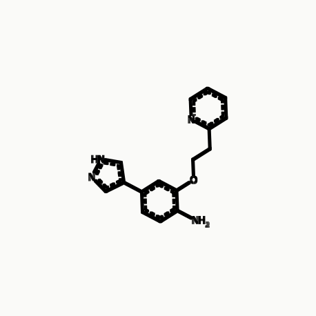 Nc1ccc(-c2cn[nH]c2)cc1OCCc1ccccn1